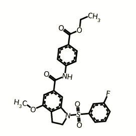 CCOC(=O)c1ccc(NC(=O)c2cc(OC)c3c(c2)N(S(=O)(=O)c2cccc(F)c2)CC3)cc1